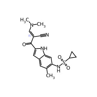 Cc1cc2cc(C(=O)/C(C#N)=C/N(C)C)[nH]c2cc1NS(=O)(=O)C1CC1